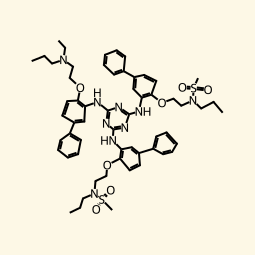 CCCN(CC)CCOc1ccc(-c2ccccc2)cc1Nc1nc(Nc2cc(-c3ccccc3)ccc2OCCN(CCC)S(C)(=O)=O)nc(Nc2cc(-c3ccccc3)ccc2OCCN(CCC)S(C)(=O)=O)n1